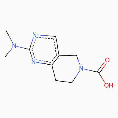 CN(C)c1ncc2c(n1)CCN(C(=O)O)C2